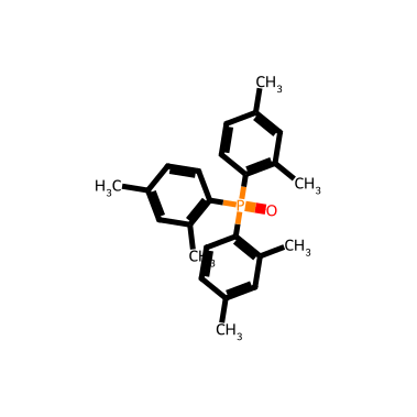 Cc1ccc(P(=O)(c2ccc(C)cc2C)c2ccc(C)cc2C)c(C)c1